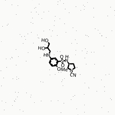 COc1ccc(NCC(O)CO)cc1S(=O)(=O)NC1CCN(C#N)C1